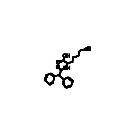 N#CCCCCC(NC(=O)C(c1ccccc1)c1ccccc1)C(=O)O